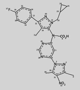 Cc1nn(-c2cc(N(C(=O)O)c3c(C)c(-c4ccc(F)cc4)nn3CC3CC3)ncn2)c(C)c1[N+](=O)[O-]